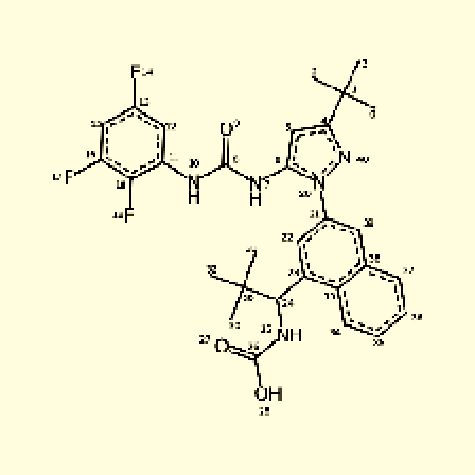 CC(C)(C)c1cc(NC(=O)Nc2cc(F)cc(F)c2F)n(-c2cc(C(NC(=O)O)C(C)(C)C)c3ccccc3c2)n1